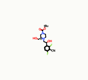 CC(C)(C)OC(=O)N1CCN(CC(O)c2ccc(F)c(C#N)c2F)[C@@H](CO)C1